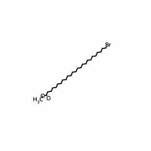 COC(=O)CCCCCCCCCCCCCCCCCCCCCCCCBr